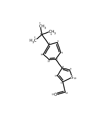 CC(C)(C)c1ccc(-c2csc(C=O)c2)cc1